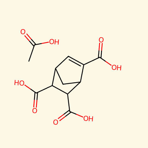 CC(=O)O.O=C(O)C1=CC2CC1C(C(=O)O)C2C(=O)O